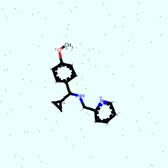 COc1ccc(C(NCc2ccccn2)C2CC2)cc1